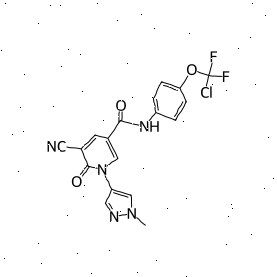 Cn1cc(-n2cc(C(=O)Nc3ccc(OC(F)(F)Cl)cc3)cc(C#N)c2=O)cn1